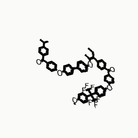 CCC(c1ccc(C(=O)c2ccc(Oc3ccc(C(c4ccc(OC)cc4)(C(F)(F)F)C(F)(F)F)cc3)cc2)cc1)C(C)Oc1ccc(-c2ccc(Oc3ccc(C(=O)c4ccc(C(C)C)cc4)cc3)cc2)cc1